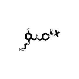 CC(C)(C)OC(=O)N1CCC(CNCc2cc(Cl)ccc2OCCO)CC1